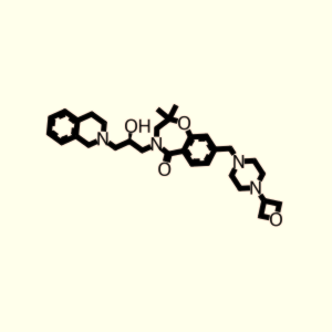 CC1(C)CN(C[C@H](O)CN2CCc3ccccc3C2)C(=O)c2ccc(CN3CCN(C4COC4)CC3)cc2O1